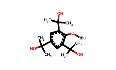 CC(C)(C)Oc1c(C(C)(C)O)cc(C(C)(C)O)cc1C(C)(C)O